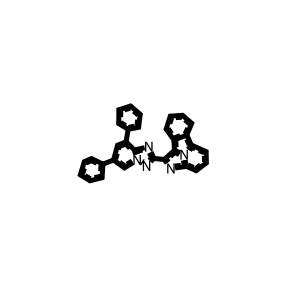 c1ccc(-c2cc(-c3ccccc3)c3nc(-c4nc5cccc6c7ccccc7c4n56)nn3c2)cc1